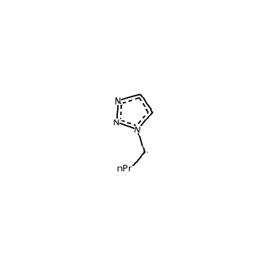 CCC[CH]n1ccnn1